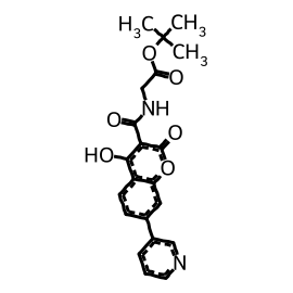 CC(C)(C)OC(=O)CNC(=O)c1c(O)c2ccc(-c3cccnc3)cc2oc1=O